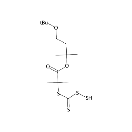 CC(C)(C)OCCC(C)(C)OC(=O)C(C)(C)SC(=S)SS